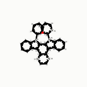 c1ccc(-n2c3ccccc3c3c4nccnc4c4c5ccccc5n(-c5ncccn5)c4c32)cc1